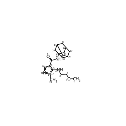 COCCNc1c(C(=O)NC23CC4CC(CC(C4)C2)C3)cnn1C